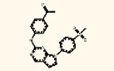 CC(=O)c1ccc(Nc2ncc3ccn(-c4ccc(S(C)(=O)=O)cc4)c3n2)cc1